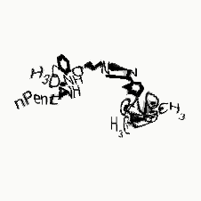 CCCCCNC(=O)Nc1c(C)cccc1OCCCn1cnc(-c2ccc(N(S(C)(=O)=O)S(C)(=O)=O)cc2)c1